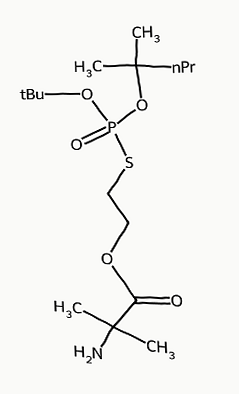 CCCC(C)(C)OP(=O)(OC(C)(C)C)SCCOC(=O)C(C)(C)N